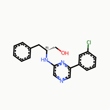 OC[C@@H](Cc1ccccc1)Nc1cncc(-c2cccc(Cl)c2)n1